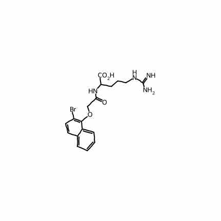 N=C(N)NCCCC(NC(=O)COc1c(Br)ccc2ccccc12)C(=O)O